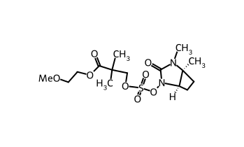 COCCOC(=O)C(C)(C)COS(=O)(=O)ON1C(=O)N(C)[C@@]2(C)CC[C@@H]12